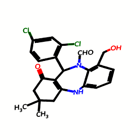 CC1(C)CC(=O)C2=C(C1)Nc1cccc(CO)c1N(C=O)C2c1ccc(Cl)cc1Cl